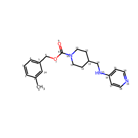 Cc1cccc(COC(=O)N2CCC(CNc3ccncc3)CC2)c1